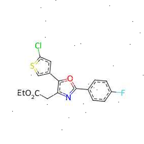 CCOC(=O)Cc1nc(-c2ccc(F)cc2)oc1-c1csc(Cl)c1